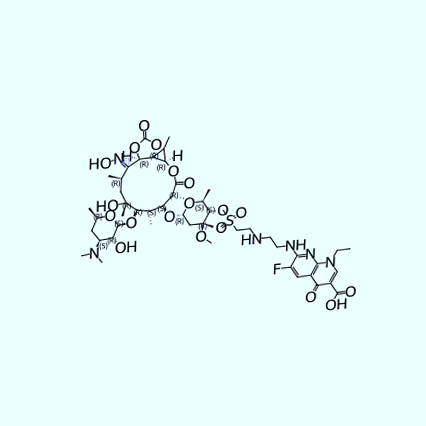 CCn1cc(C(=O)O)c(=O)c2cc(F)c(NCCNCCS(=O)(=O)O[C@H]3[C@H](C)O[C@@H](O[C@H]4[C@H](C)[C@@H](O[C@@H]5O[C@H](C)C[C@H](N(C)C)[C@H]5O)[C@](C)(O)C[C@@H](C)/C(=N\O)[C@H]5OC(=O)O[C@@]56C(C)[C@H]6OC(=O)[C@@H]4C)C[C@@]3(C)OC)nc21